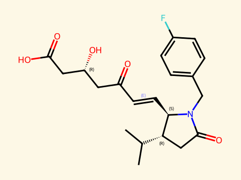 CC(C)[C@H]1CC(=O)N(Cc2ccc(F)cc2)[C@@H]1/C=C/C(=O)C[C@@H](O)CC(=O)O